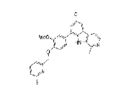 COc1cc(-c2cc(Cl)cc3c2[nH]c2c(C)nccc23)ccc1OCc1cccc(F)n1